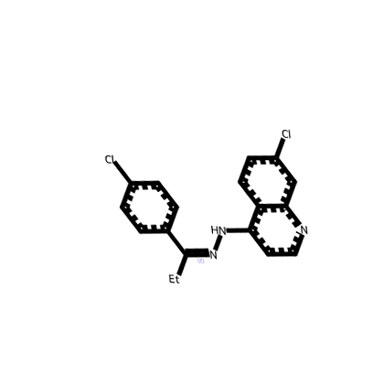 CC/C(=N/Nc1ccnc2cc(Cl)ccc12)c1ccc(Cl)cc1